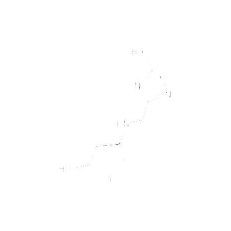 Cc1nc(CNC(=O)CC(C)C)no1